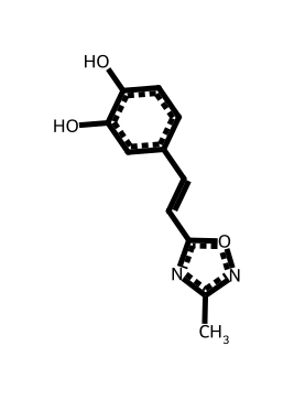 Cc1noc(C=Cc2ccc(O)c(O)c2)n1